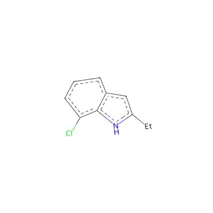 [CH2]Cc1cc2cccc(Cl)c2[nH]1